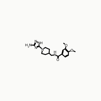 COc1ccc(C(=O)NCC2CCN(c3nc(N)n[nH]3)CC2)cc1OC